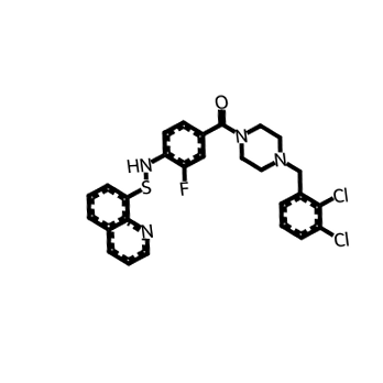 O=C(c1ccc(NSc2cccc3cccnc23)c(F)c1)N1CCN(Cc2cccc(Cl)c2Cl)CC1